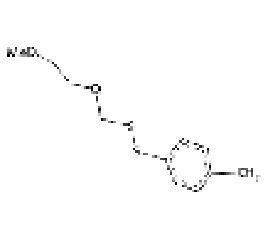 COCCOCSSc1ccc(C)cc1